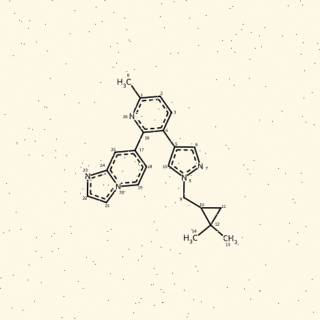 Cc1ccc(-c2cnn(CC3CC3(C)C)c2)c(-c2ccn3ccnc3c2)n1